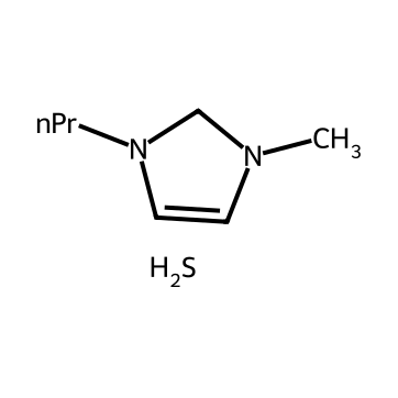 CCCN1C=CN(C)C1.S